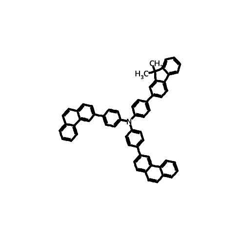 CC1(C)c2ccccc2-c2ccc(-c3ccc(N(c4ccc(-c5ccc6ccc7ccccc7c6c5)cc4)c4ccc(-c5ccc6ccc7ccccc7c6c5)cc4)cc3)cc21